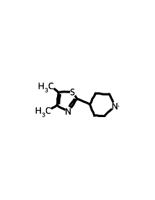 Cc1nc(C2CC[N]CC2)sc1C